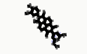 C\C(C#N)=C/C(=C\C=N\C#N)C1C(=O)c2ccc3c4c(ccc(c24)C1=O)C(=O)N(c1ccc(C#N)c(C#N)c1)C3=O